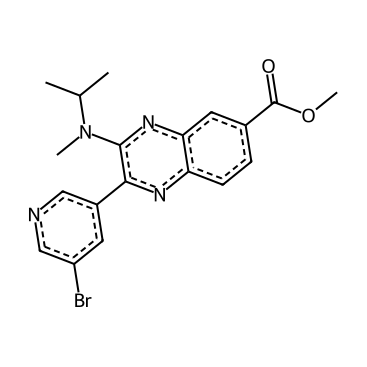 COC(=O)c1ccc2nc(-c3cncc(Br)c3)c(N(C)C(C)C)nc2c1